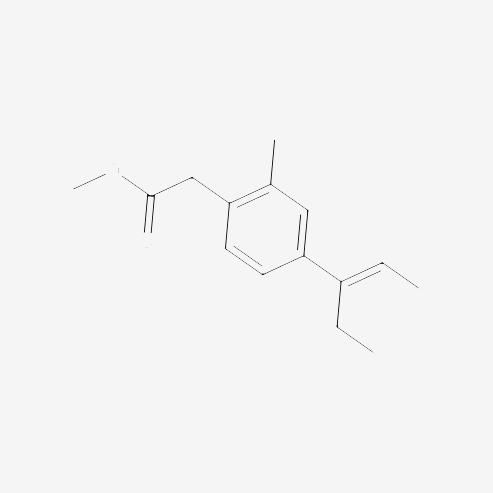 CC=C(CC)c1ccc(CC(=O)OC)c(C)c1